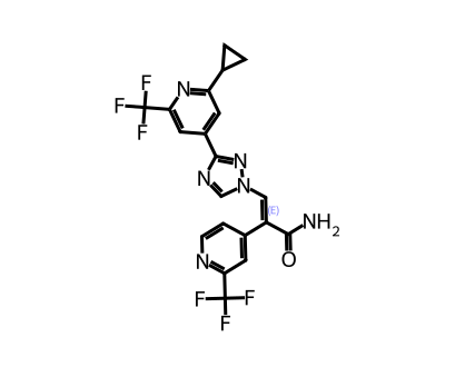 NC(=O)/C(=C/n1cnc(-c2cc(C3CC3)nc(C(F)(F)F)c2)n1)c1ccnc(C(F)(F)F)c1